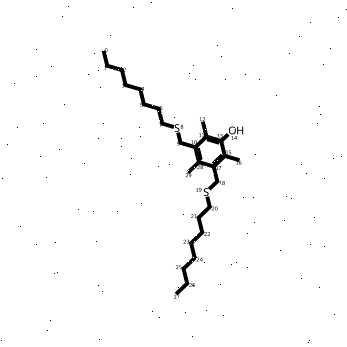 CCCCCCCCSCc1c(C)c(O)c(C)c(CSCCCCCCCC)c1C